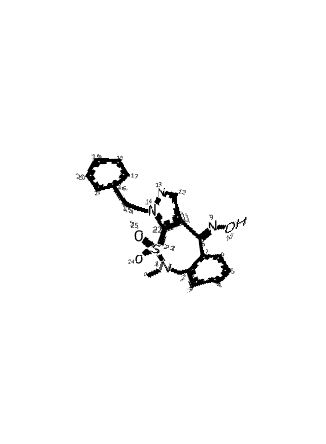 CN1c2ccccc2C(=NO)c2cnn(Cc3ccccc3)c2S1(=O)=O